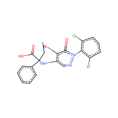 CCC(Nc1cnn(-c2c(Cl)cccc2Cl)c(=O)c1Br)(C(=O)O)c1ccccc1